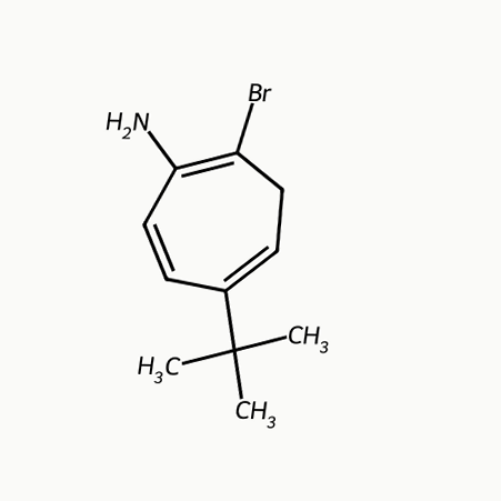 CC(C)(C)C1=CCC(Br)=C(N)C=C1